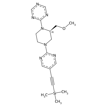 COC[C@H]1CN(c2ncc(C#C[Si](C)(C)C)cn2)CCN1c1ncncn1